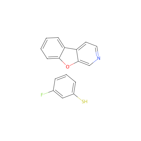 Fc1cccc(S)c1.c1ccc2c(c1)oc1cnccc12